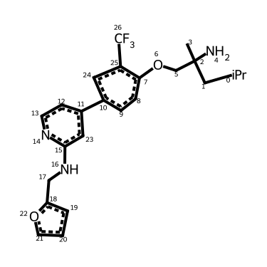 CC(C)CC(C)(N)COc1ccc(-c2ccnc(NCc3ccco3)c2)cc1C(F)(F)F